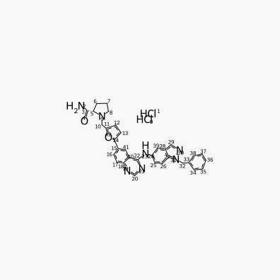 Cl.Cl.NC(=O)[C@@H]1CCCN1Cc1ccc(-c2ccc3ncnc(Nc4ccc5c(cnn5Cc5ccccc5)c4)c3c2)o1